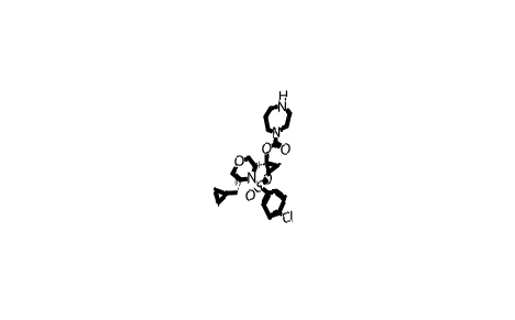 O=C(OC1([C@H]2COC[C@@H](CC3CC3)N2S(=O)(=O)c2ccc(Cl)cc2)CC1)N1CCCNCC1